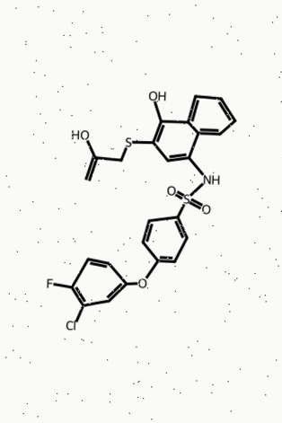 C=C(O)CSc1cc(NS(=O)(=O)c2ccc(Oc3ccc(F)c(Cl)c3)cc2)c2ccccc2c1O